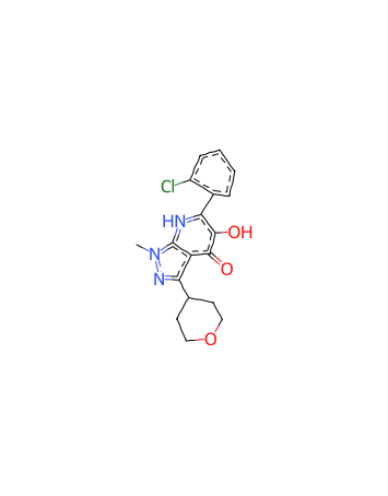 Cn1nc(C2CCOCC2)c2c(=O)c(O)c(-c3ccccc3Cl)[nH]c21